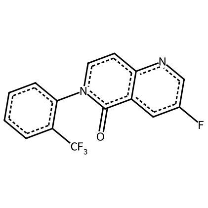 O=c1c2cc(F)cnc2ccn1-c1ccccc1C(F)(F)F